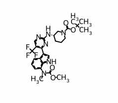 COC(=O)N(C)c1cccc2c(-c3nc(N[C@H]4CCCN(C(=O)OC(C)(C)C)C4)ncc3C(F)(F)F)c[nH]c12